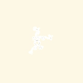 CC(=O)OCc1nc2cc(OCC3CC3)c(Br)cc2n1COCC[Si](C)(C)C